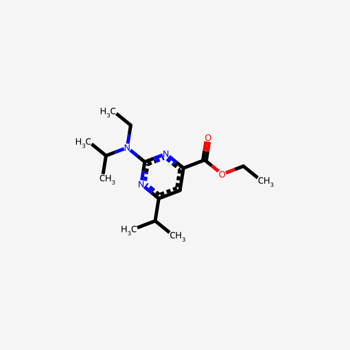 CCOC(=O)c1cc(C(C)C)nc(N(CC)C(C)C)n1